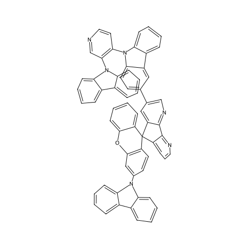 c1ccc2c(c1)Oc1cc(-n3c4ccccc4c4ccccc43)ccc1C21c2cccnc2-c2ncc(-c3ccc4c(c3)c3ccccc3n4-c3ccncc3-n3c4ccccc4c4ccccc43)cc21